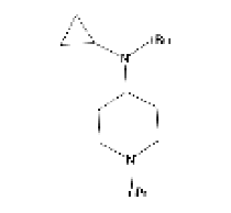 CCCN1CCC(N(C2CC2)C(C)(C)C)CC1